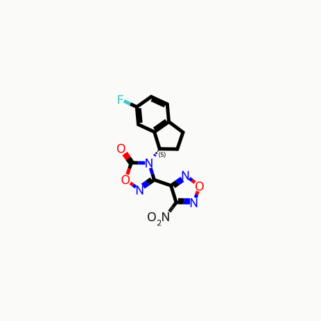 O=c1onc(-c2nonc2[N+](=O)[O-])n1[C@H]1CCc2ccc(F)cc21